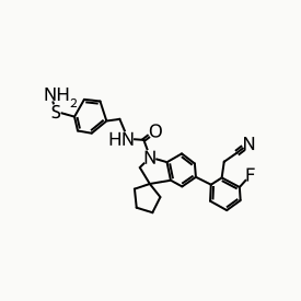 N#CCc1c(F)cccc1-c1ccc2c(c1)C1(CCCC1)CN2C(=O)NCc1ccc(SN)cc1